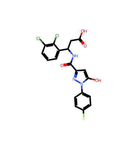 O=C(O)CC(NC(=O)c1cc(O)n(-c2ccc(F)cc2)n1)c1cccc(Cl)c1Cl